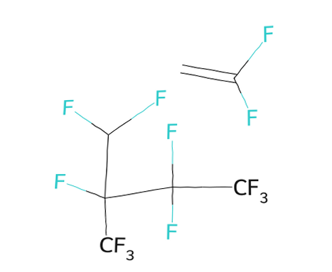 C=C(F)F.FC(F)C(F)(C(F)(F)F)C(F)(F)C(F)(F)F